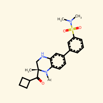 CC(=O)N1c2ccc(-c3cccc(S(=O)(=O)N(C)C)c3)cc2NC[C@@]1(C)C(=O)C1CCC1